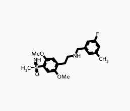 COc1cc([S@@](C)(=N)=O)c(OC)cc1CCNCc1cc(C)cc(F)c1